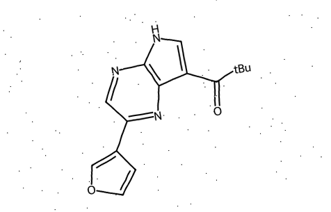 CC(C)(C)C(=O)c1c[nH]c2ncc(-c3ccoc3)nc12